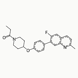 CCC(=O)N1CCC(Oc2ccc(-c3cc4nc(C)ccc4cc3F)cc2)CC1